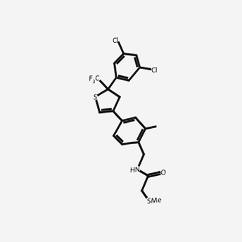 CSCC(=O)NCc1ccc(C2=CSC(c3cc(Cl)cc(Cl)c3)(C(F)(F)F)C2)cc1C